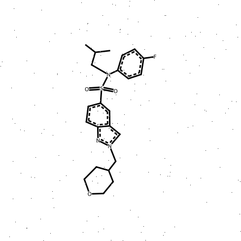 CC(C)CN(c1ccc(F)cc1)S(=O)(=O)c1ccc2nn(CC3CCOCC3)cc2c1